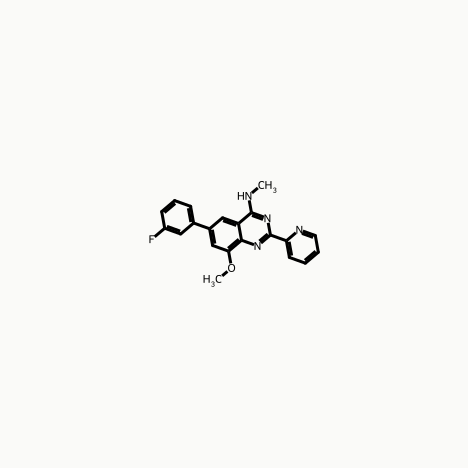 CNc1nc(-c2ccccn2)nc2c(OC)cc(-c3cccc(F)c3)cc12